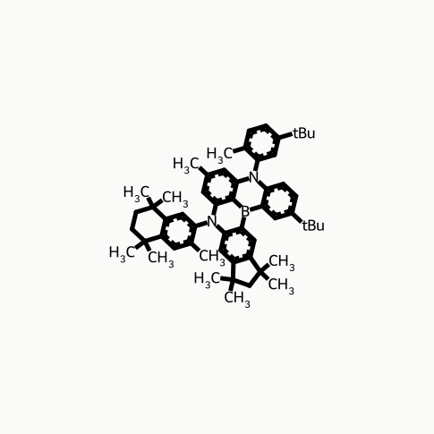 Cc1cc2c3c(c1)N(c1cc4c(cc1C)C(C)(C)CCC4(C)C)c1cc4c(cc1B3c1cc(C(C)(C)C)ccc1N2c1cc(C(C)(C)C)ccc1C)C(C)(C)CC4(C)C